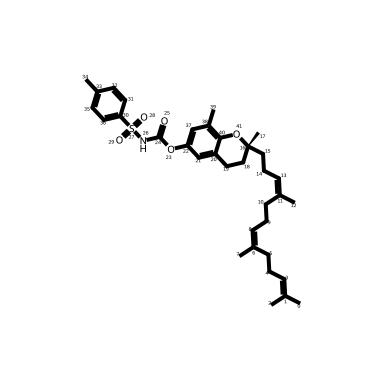 CC(C)=CCCC(C)=CCCC(C)=CCC[C@]1(C)CCc2cc(OC(=O)NS(=O)(=O)c3ccc(C)cc3)cc(C)c2O1